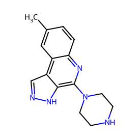 Cc1ccc2nc(N3CCNCC3)c3[nH]ncc3c2c1